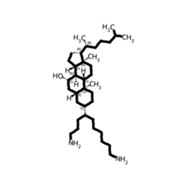 CC(C)CCC[C@@H](C)[C@H]1CC[C@H]2[C@@H]3[C@@H](O)C[C@H]4C[C@@H](C(CCCN)CCCCCCN)CC[C@]4(C)[C@H]3CC[C@]12C